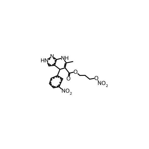 CC1=C(C(=O)OCCCO[N+](=O)[O-])C(c2cccc([N+](=O)[O-])c2)c2c[nH]nc2N1